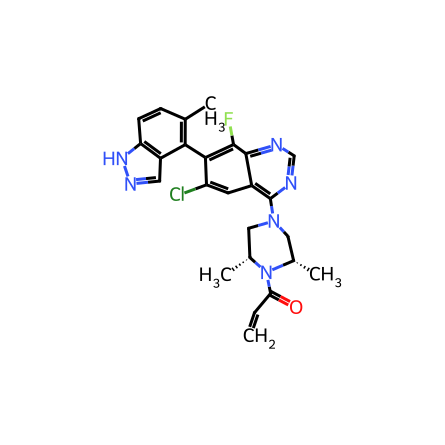 C=CC(=O)N1[C@H](C)CN(c2ncnc3c(F)c(-c4c(C)ccc5[nH]ncc45)c(Cl)cc23)C[C@@H]1C